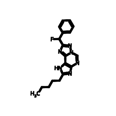 CCCCCc1nc2ncn3nc(C(F)c4ccccc4)nc3c2[nH]1